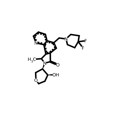 CC1c2c(cc(CN3CCC(F)(F)CC3)c3cccnc23)C(=O)N1[C@@H]1COCC[C@@H]1O